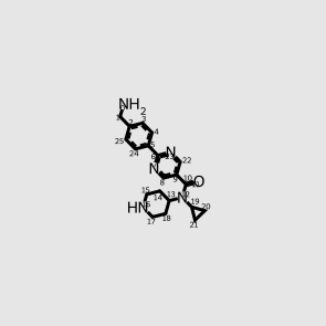 NCc1ccc(-c2ncc(C(=O)N(C3CCNCC3)C3CC3)cn2)cc1